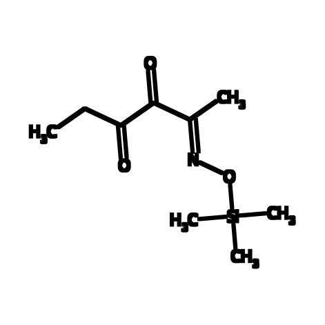 CCC(=O)C(=O)C(C)=NO[Si](C)(C)C